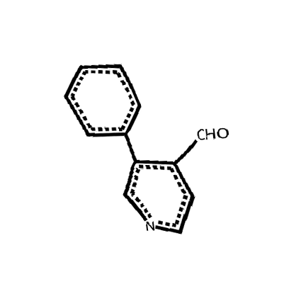 O=Cc1ccncc1-c1ccccc1